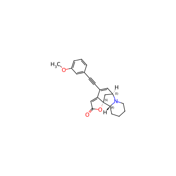 COc1cccc(C#CC2=C[C@@H]3C[C@@]4(OC(=O)C=C24)[C@H]2CCCCN32)c1